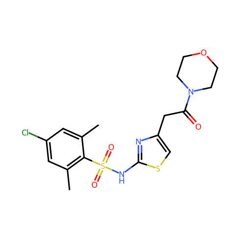 Cc1cc(Cl)cc(C)c1S(=O)(=O)Nc1nc(CC(=O)N2CCOCC2)cs1